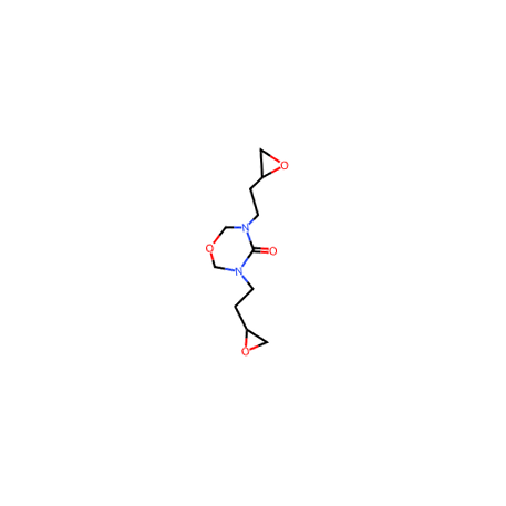 O=C1N(CCC2CO2)COCN1CCC1CO1